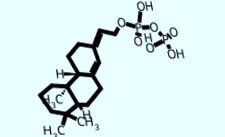 CC1(C)CCC[C@@]2(C)[C@@H]3CC/C(=C/COP(=O)(O)OP(=O)(O)O)C=C3CC[C@H]12